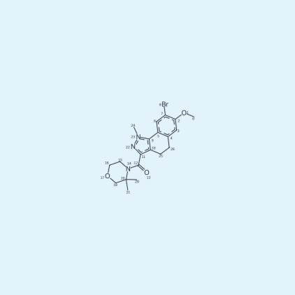 COc1cc2c(cc1Br)-c1c(c(C(=O)N3CCOCC3(C)C)nn1C)CC2